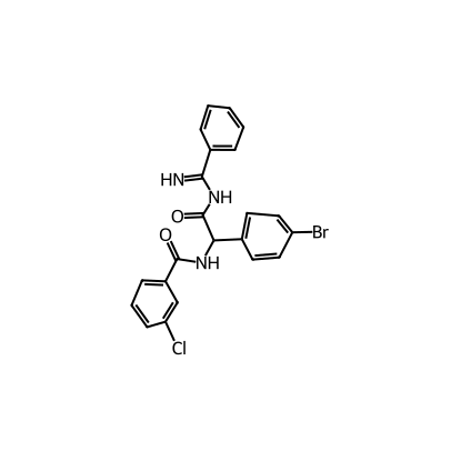 N=C(NC(=O)C(NC(=O)c1cccc(Cl)c1)c1ccc(Br)cc1)c1ccccc1